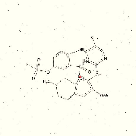 COc1cc2c(cc1Nc1ncc(Cl)c(Nc3ccc(OS(=O)(=O)F)cc3P(C)(C)=O)n1)CN(C)CC2